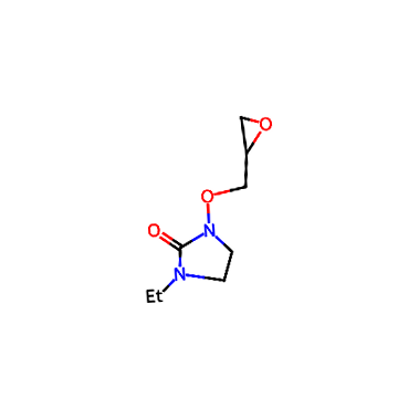 CCN1CCN(OCC2CO2)C1=O